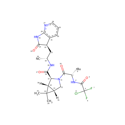 CC(C)(C)[C@H](NC(=O)C(F)(F)Cl)C(=O)N1C[C@H]2[C@@H]([C@H]1C(=O)N[C@H](C#N)C[C@H]1C(=O)Nc3ncccc31)C2(C)C